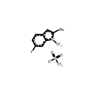 CC(C)(C)c1cc2ccc(F)cc2[s+]1C(F)(F)F.O=S(=O)([O-])C(F)(F)F